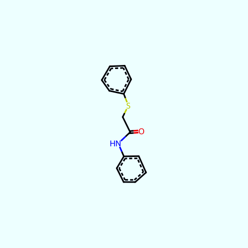 O=C(CSc1ccccc1)Nc1ccccc1